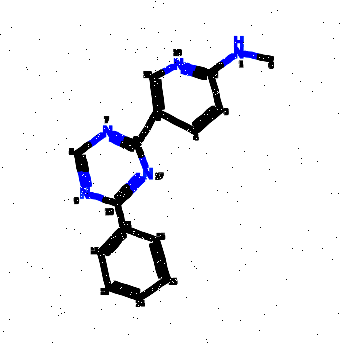 CNc1ccc(-c2ncnc(-c3ccccc3)n2)cn1